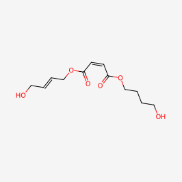 O=C(/C=C\C(=O)OCCCCO)OC/C=C/CO